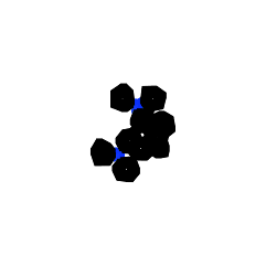 c1ccc(N(c2ccccc2)c2ccc3c4c(cccc24)C2(c4ccccc4-c4ccccc42)c2cc4c5ccccc5n(-c5ccccc5)c4cc2-3)cc1